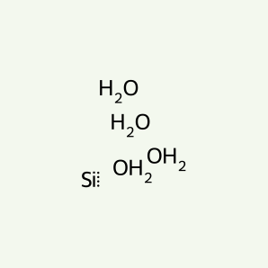 O.O.O.O.[Si]